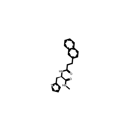 CNC(=O)[C@@H](Cc1cccs1)NC(=O)CCc1ccc2ccccc2c1